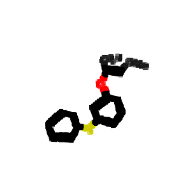 COC=C(Oc1cccc(Sc2ccccc2)c1)C(=O)O